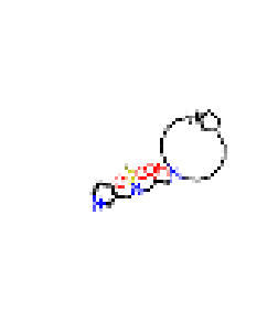 CS(=O)(=O)N(Cc1cccnc1)CC(O)CN1CCCC[CH]C[C@H]2CCC(CCCCCC1)C2